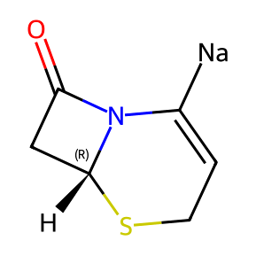 O=C1C[C@H]2SCC=[C]([Na])N12